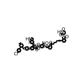 CC1(C)CCC(CN2CCN(c3ccc(C(=O)NS(=O)(=O)c4ccc(NCC5CCCN(C(=O)CCCCC#Cc6cccc7c6CN(C6CCC(=O)NC6=O)C7=O)C5)c([N+](=O)[O-])c4)c(Oc4cnc5[nH]ccc5c4)c3)CC2)=C(c2ccc(Cl)cc2)C1